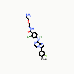 COc1ccc(-c2cnc3c(Nc4ccc(C(=O)NCCOCCN)c(Cl)c4)nccn23)cc1F.Cl